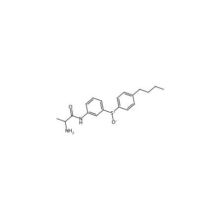 CCCCc1ccc([S+]([O-])c2cccc(NC(=O)C(C)N)c2)cc1